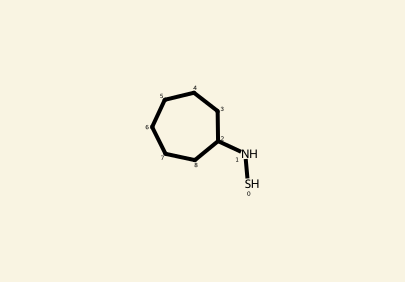 SNC1CCCCCC1